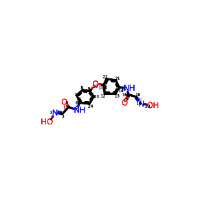 O=C(/C=N/O)Nc1ccc(Oc2ccc(NC(=O)/C=N/O)cc2)cc1